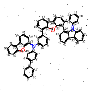 c1ccc(-c2ccc(N(c3cccc(-c4cccc5c4oc4c6c(ccc45)-c4ccccc4-n4c5ccccc5c5cccc-6c54)c3)c3cccc4c3oc3ccccc34)cc2)cc1